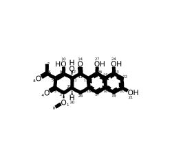 CO[C@@H]1C(=O)C(C(C)=O)=C(O)[C@@]2(O)C(=O)c3c(cc4cc(O)cc(O)c4c3O)C[C@@H]12